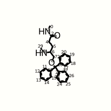 CNC(=O)CCC(COC(c1ccccc1)(c1ccccc1)c1ccccc1)NC